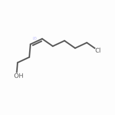 OCC/C=C\CCCCCl